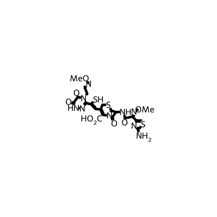 CON=CCn1c(C(S)=CC2=C(C(=O)O)N3C(=O)C(NC(=O)C(=NOC)c4csc(N)n4)C3SC2)n[nH]c(=O)c1=O